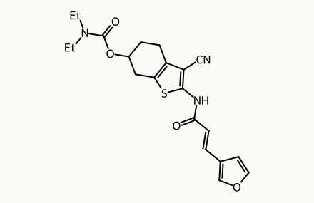 CCN(CC)C(=O)OC1CCc2c(sc(NC(=O)C=Cc3ccoc3)c2C#N)C1